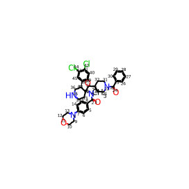 CN(C(=O)c1ccc(N2CCOCC2)cc1)[C@]1(C(=O)C2CCN(C(=O)c3ccccc3)CC2)CCNC[C@H]1c1ccc(Cl)c(Cl)c1